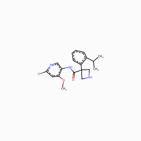 COc1cc(Cl)ncc1NC(=O)C1(c2ccccc2C(C)C)CNC1